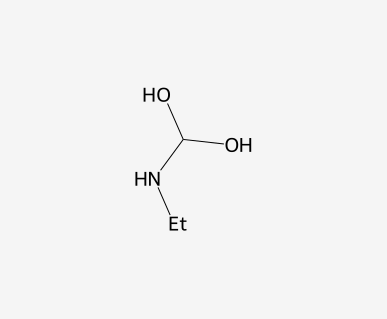 [CH2]CNC(O)O